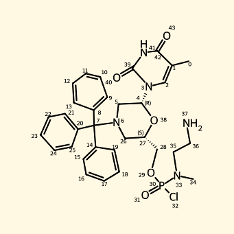 Cc1cn([C@H]2CN(C(c3ccccc3)(c3ccccc3)c3ccccc3)C[C@@H](COP(=O)(Cl)N(C)CCN)O2)c(=O)[nH]c1=O